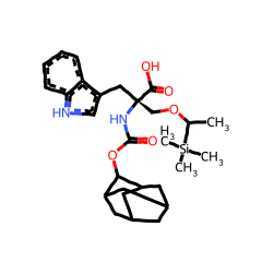 CC(OC[C@](Cc1c[nH]c2ccccc12)(NC(=O)OC1C2CC3CC(C2)CC1C3)C(=O)O)[Si](C)(C)C